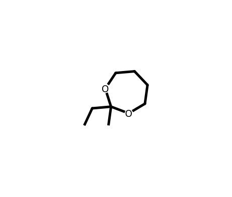 CCC1(C)OCCCCO1